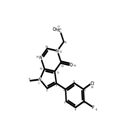 Cn1cc(-c2ccc(F)c(Cl)c2)c2c(=O)n(CC=O)cnc21